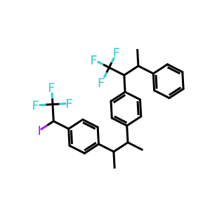 CC(c1ccc(C(I)C(F)(F)F)cc1)C(C)c1ccc(C(C(C)c2ccccc2)C(F)(F)F)cc1